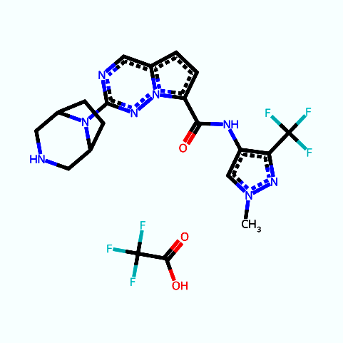 Cn1cc(NC(=O)c2ccc3cnc(N4C5CCC4CNC5)nn23)c(C(F)(F)F)n1.O=C(O)C(F)(F)F